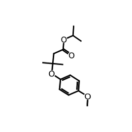 COc1ccc(OC(C)(C)CC(=O)OC(C)C)cc1